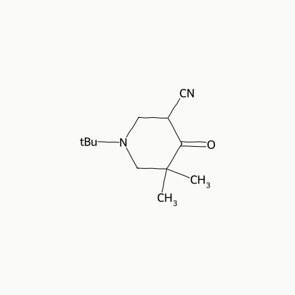 CC1(C)CN(C(C)(C)C)CC(C#N)C1=O